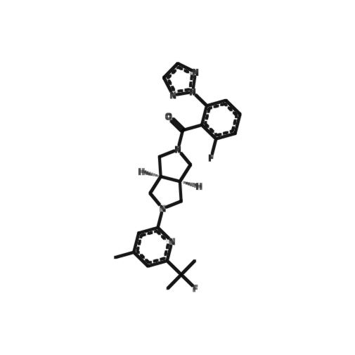 Cc1cc(N2C[C@H]3CN(C(=O)c4c(F)cccc4-n4nccn4)C[C@H]3C2)nc(C(C)(C)F)c1